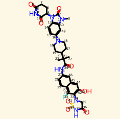 Cn1c(=O)n(C2CCC(=O)NC2=O)c2ccc(N3CCC(C(C)(C)C(=O)Nc4ccc5c(F)c(N6CC(=O)NS6(=O)=O)c(O)cc5c4)CC3)cc21